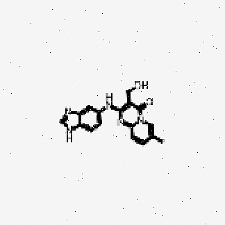 Cc1ccc2nc(Nc3ccc4[nH]cnc4c3)c(CO)c(=O)n2c1